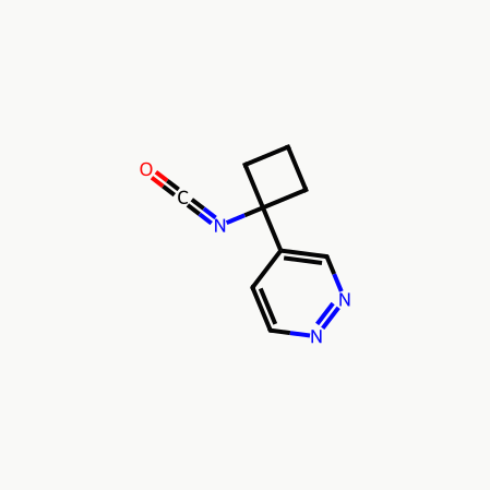 O=C=NC1(c2ccnnc2)CCC1